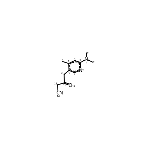 Cc1cc(N(C)C)ncc1CC(=O)CC#N